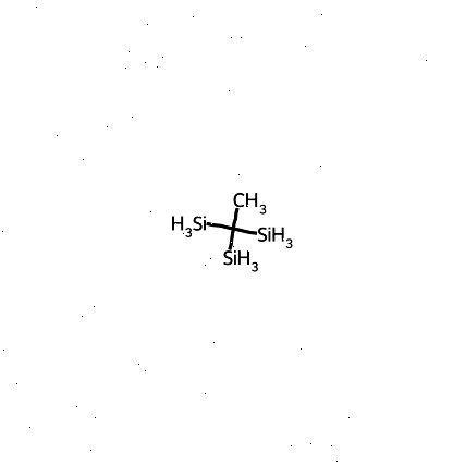 CC([SiH3])([SiH3])[SiH3]